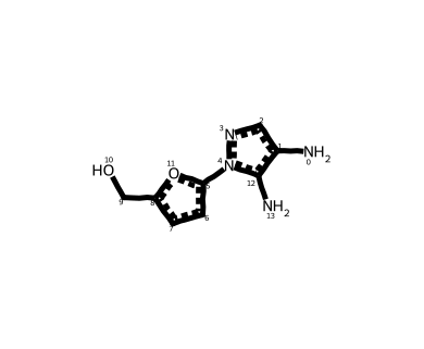 Nc1cnn(-c2ccc(CO)o2)c1N